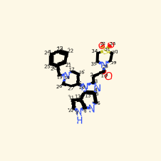 O=C(Cc1nc2cnc3[nH]ccc3c2n1C1CCN(Cc2ccccc2)CC1)N1CCS(=O)(=O)CC1